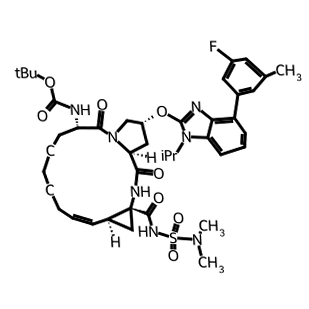 Cc1cc(F)cc(-c2cccc3c2nc(O[C@@H]2C[C@H]4C(=O)N[C@]5(C(=O)NS(=O)(=O)N(C)C)C[C@H]5/C=C\CCCCC[C@H](NC(=O)OC(C)(C)C)C(=O)N4C2)n3C(C)C)c1